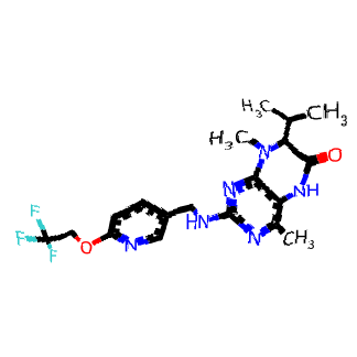 Cc1nc(NCc2ccc(OCC(F)(F)F)nc2)nc2c1NC(=O)C(C(C)C)N2C